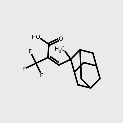 CC1(C=C(C(=O)O)C(F)(F)F)C2CC3CC(C2)CC1C3